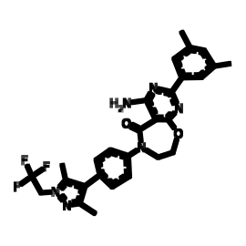 Cc1cc(C)cc(-c2nc(N)c3c(n2)OCCN(c2ccc(-c4c(C)nn(CC(F)(F)F)c4C)cc2)C3=O)c1